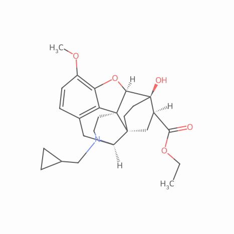 CCOC(=O)[C@H]1C[C@@]23CC[C@]1(O)[C@@H]1Oc4c(OC)ccc5c4[C@@]12CCN(CC1CC1)[C@@H]3C5